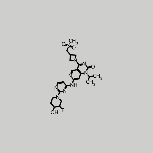 CC(C)n1c(=O)nc(N2CC(CS(C)(=O)=O)C2)c2cnc(Nc3ccnc(N4CCC(O)C(F)C4)n3)cc21